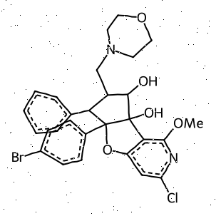 COc1nc(Cl)cc2c1C1(O)C(O)C(CN3CCOCC3)C(c3ccccc3)C1(c1ccc(Br)cc1)O2